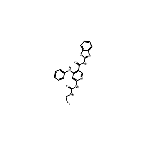 CCNC(=O)Nc1cc(Nc2ccccc2)c(C(=O)Nc2nc3ccccc3s2)cn1